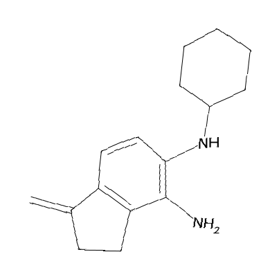 C=C1CCc2c1ccc(NC1CCCCC1)c2N